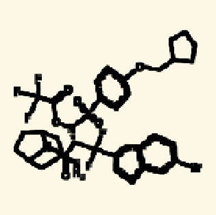 NC1CC2CCC(C1)N2C(=O)[C@H](N(OC(=O)C(F)(F)F)S(=O)(=O)c1ccc(OCC2CCCC2)cc1)C(F)(F)c1ccc2cc(Br)ccc2c1